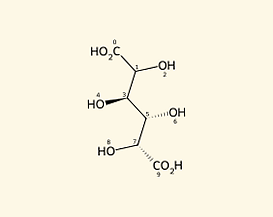 O=C(O)C(O)[C@H](O)[C@H](O)[C@@H](O)C(=O)O